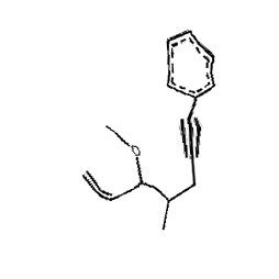 C=CC(OC)C(C)CC#Cc1ccccc1